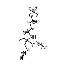 CCC(CN=[N+]=[N-])(CN=[N+]=[N-])NC(=O)CCC(=O)OC(C)(C)C